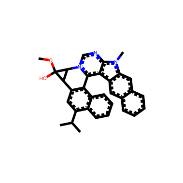 COC1(O)C2c3cc(C(C)C)c4ccccc4c3-c3c4c5cc6ccccc6cc5n(C)c4nc[n+]3C21